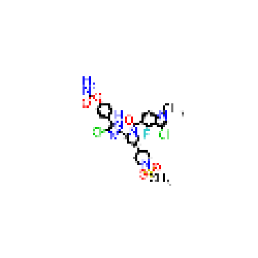 Cn1cc(Cl)c2c(F)c(C(=O)N3C[C@@H](C4CCN(S(C)(=O)=O)CC4)C[C@H]3c3nc(Cl)c(-c4ccc(OC(N)=O)cc4)[nH]3)ccc21